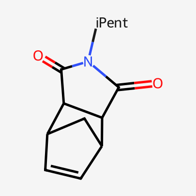 CCCC(C)N1C(=O)C2C3C=CC(C3)C2C1=O